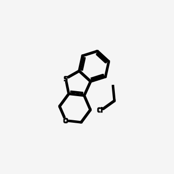 CCCl.c1ccc2c3c(sc2c1)COCC3